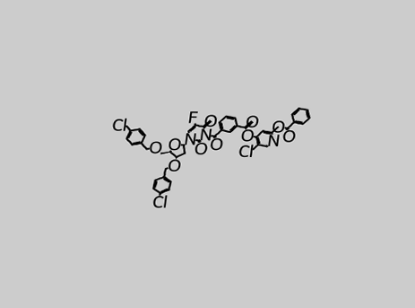 O=C(Oc1cc(OC(=O)c2cccc(C(=O)n3c(=O)c(F)cn([C@H]4C[C@H](OCc5ccc(Cl)cc5)[C@@H](COCc5ccc(Cl)cc5)O4)c3=O)c2)c(Cl)cn1)c1ccccc1